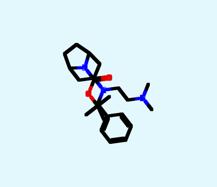 CN(C)CCN(Cc1ccccc1)C1CC2CCC(C1)N2C(=O)OC(C)(C)C